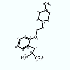 CN1CCN(CCOc2ccccc2CC(N)C(=O)O)CC1